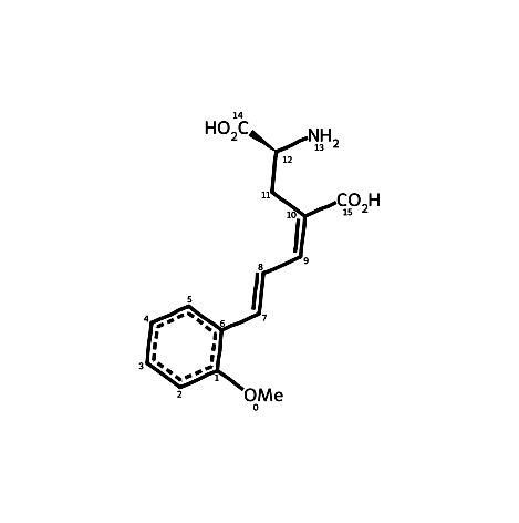 COc1ccccc1C=CC=C(C[C@H](N)C(=O)O)C(=O)O